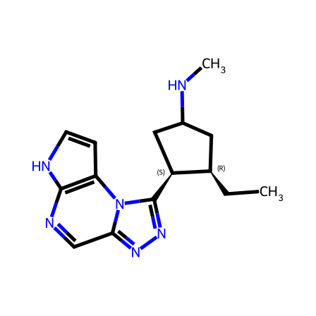 CC[C@@H]1CC(NC)C[C@@H]1c1nnc2cnc3[nH]ccc3n12